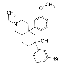 CCN1CCC2(c3cccc(OC)c3)CC(O)(c3cccc(Br)c3)CCC2C1